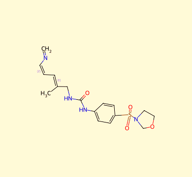 C=N/C=C\C=C(/C)CNC(=O)Nc1ccc(S(=O)(=O)N2CCOC2)cc1